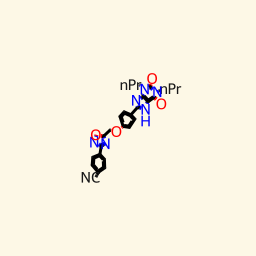 CCCn1c(=O)c2[nH]c(-c3ccc(OCc4nc(-c5ccc(C#N)cc5)no4)cc3)nc2n(CCC)c1=O